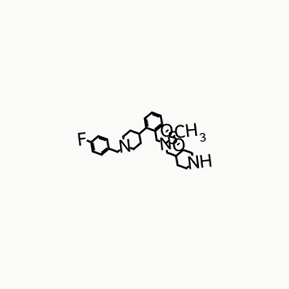 CS(=O)(=O)N(Cc1ccccc1C1CCN(Cc2ccc(F)cc2)CC1)CC1CCNCC1